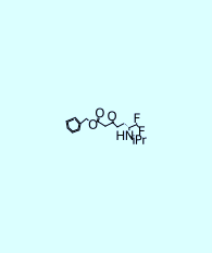 CC(C)N[C@H](CCC(=O)CC(=O)OCc1ccccc1)C(F)F